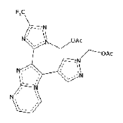 CC(=O)OCn1cc(-c2c(-c3nc(C(F)(F)F)nn3COC(C)=O)nc3ncccn23)cn1